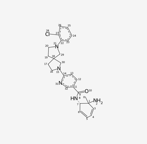 CC1(N)C=CC=C[C@@H]1NC(=O)c1ccc(N2CCC3(CCN(c4ccccc4Cl)C3)C2)nc1